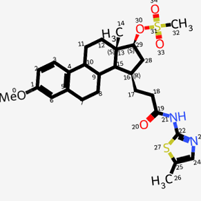 COc1ccc2c(c1)CCC1C2CC[C@@]2(C)C1[C@H](CCC(=O)Nc1ncc(C)s1)C[C@@H]2OS(C)(=O)=O